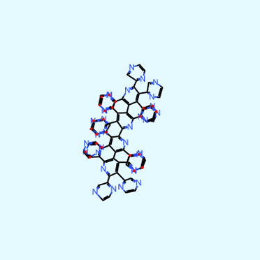 c1cnc(-c2nc(-c3cnccn3)c(-c3c(-c4cnccn4)nc(-c4nc(-c5cnccn5)c(-c5c(-c6cnccn6)nc(-c6cnccn6)c(-c6cnccn6)c5-c5cnccn5)c(-c5cnccn5)c4-c4cnccn4)c(-c4cnccn4)c3-c3cnccn3)c(-c3cnccn3)c2-c2cnccn2)cn1